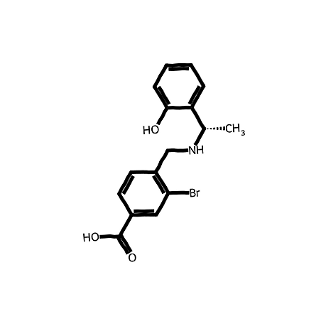 C[C@H](NCc1ccc(C(=O)O)cc1Br)c1ccccc1O